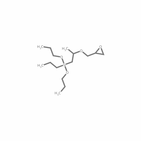 CCCO[Si](CCC)(CC(C)OCC1CO1)OCCC